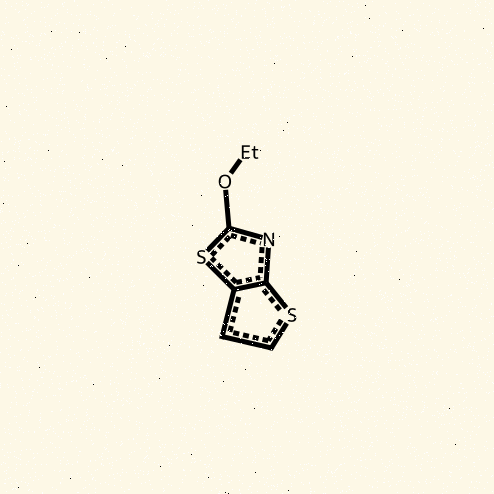 CCOc1nc2sccc2s1